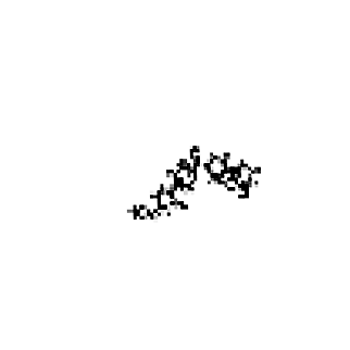 Cc1cc(CO)ccc1N1CCN(C(=O)c2ccc(N3CCCS3(=O)=O)cc2)CC1